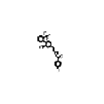 OC(CNCCc1ccc(-c2ccccc2C(F)(F)F)c(Cl)c1)c1ccc(Cl)cc1